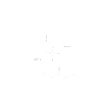 CCCN(CCC)CC[Si](OC(C)=O)(OC(C)=O)OC(C)=O